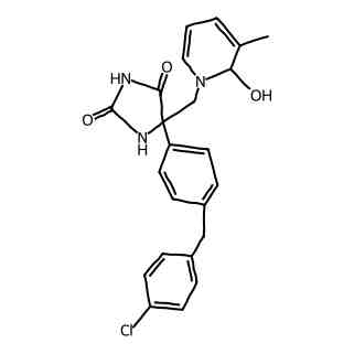 CC1=CC=CN(CC2(c3ccc(Cc4ccc(Cl)cc4)cc3)NC(=O)NC2=O)C1O